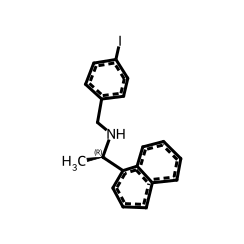 C[C@@H](NCc1ccc(I)cc1)c1cccc2ccccc12